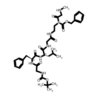 CNCC(=O)N(CCNC(=O)CNC(=O)[C@H](CC(C)C)NC(=O)[C@H](Cc1ccccc1)NC(=O)CNC(=O)OC(C)(C)C)C(=O)OCc1ccccc1